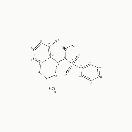 CNC(C1CCCc2cccc(F)c21)S(=O)(=O)c1ccccc1.Cl